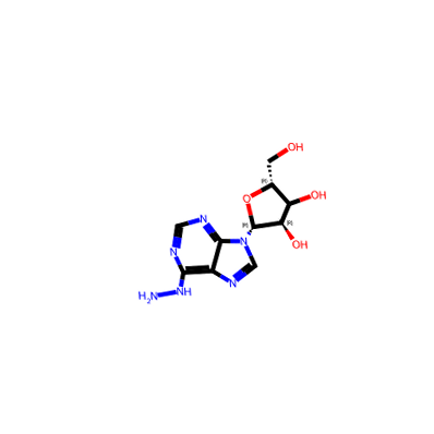 NNc1ncnc2c1ncn2[C@@H]1O[C@H](CO)C(O)[C@H]1O